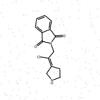 O=C1c2ccccc2C(=O)N1C/C(Cl)=C1\CCNC1